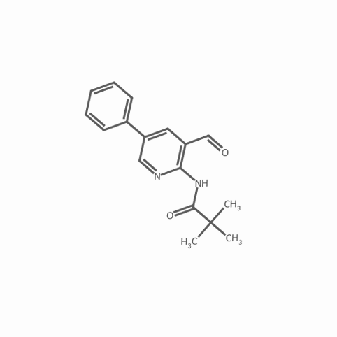 CC(C)(C)C(=O)Nc1ncc(-c2ccccc2)cc1C=O